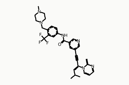 C=C1N=CC=CN1/C(C#Cc1cncc(C(=O)Nc2ccc(CN3CCN(C)CC3)c(C(F)(F)F)c2)c1)=C\C(C)C